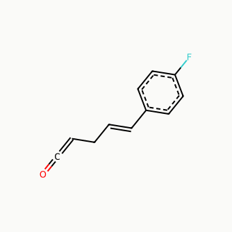 O=C=CCC=Cc1ccc(F)cc1